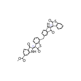 COC(=O)c1ccc2c(c1)N/C(=C1\C(=O)Sc3c(Cc4ccc5c(c4)C(=O)/C(=C4/C(=O)Sc6ccccc64)N5)cccc31)C2=O